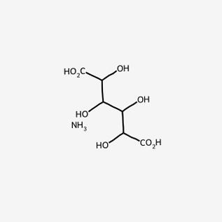 N.O=C(O)C(O)C(O)C(O)C(O)C(=O)O